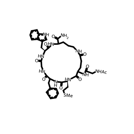 CSCC[C@@H]1NC(=O)C(NC(=O)CNC(C)=O)CCC(=O)NCCCC(C(N)=O)NC(=O)[C@H](Cc2c[nH]c3ccccc23)NC(=O)CNC(=O)C(Cc2ccccc2)NC1=O